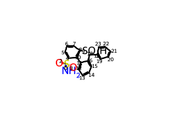 NS(=O)(=O)c1cccc(S(=O)(=O)O)c1-c1ccccc1Cc1ccccc1